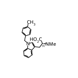 CN[C@@H](Cc1cn(Cc2ccc(C)cc2)c2ccccc12)C(=O)O